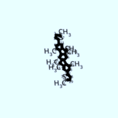 Cc1ccc(-c2cc(C)c3c(c2)C(C)(C)c2cc4c(cc2-3)C(C)(C)c2cc(-c3ccc(C)s3)cc(C)c2-4)s1